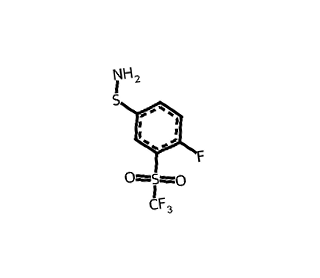 NSc1ccc(F)c(S(=O)(=O)C(F)(F)F)c1